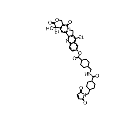 CCc1c2c(nc3ccc(OC(=O)C4CCC(CNC(=O)C5CCC(CN6C(=O)C=CC6=O)CC5)CC4)cc13)-c1cc3c(c(=O)n1C2)COC(=O)[C@]3(O)CC